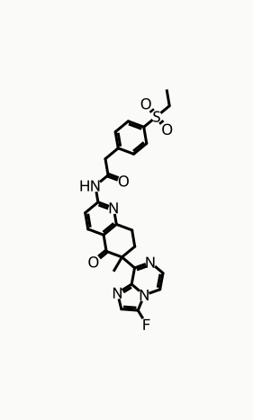 CCS(=O)(=O)c1ccc(CC(=O)Nc2ccc3c(n2)CCC(C)(c2nccn4c(F)cnc24)C3=O)cc1